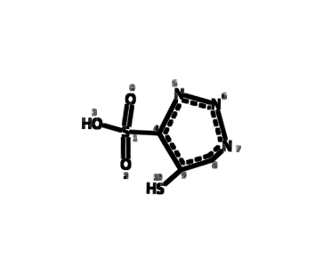 O=S(=O)(O)c1nnncc1S